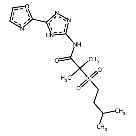 CC(C)CCS(=O)(=O)C(C)(C)C(=O)Nc1nnc(-c2ncco2)[nH]1